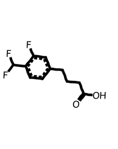 O=C(O)CCCc1ccc(C(F)F)c(F)c1